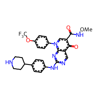 CONC(=O)c1cn(-c2ccc(OC(F)(F)F)cc2)c2nc(Nc3ccc(C4CCNCC4)cc3)ncc2c1=O